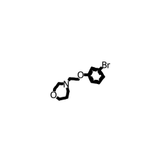 Brc1cccc(OCCN2CCCOCC2)c1